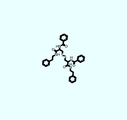 O=C(NC(CSSCC(NC(=O)c1ccccc1)C(=O)NCCc1ccccc1)C(=O)NCCc1ccccc1)c1ccccc1